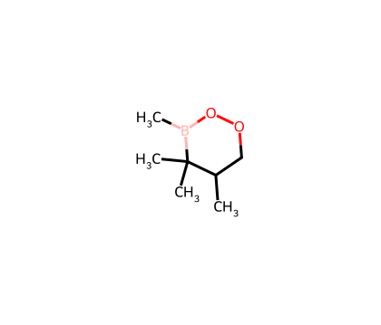 CB1OOCC(C)C1(C)C